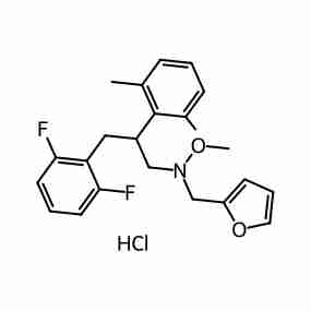 CON(Cc1ccco1)CC(Cc1c(F)cccc1F)c1c(C)cccc1C.Cl